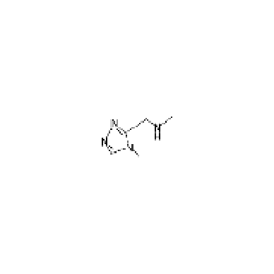 CNCc1nncn1C